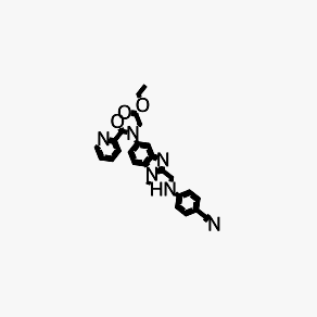 CCOC(=O)CN(C(=O)c1ccccn1)c1ccc2c(c1)nc(CNc1ccc(C#N)cc1)n2C